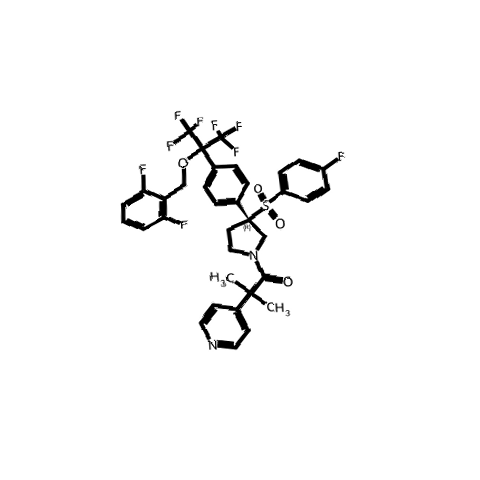 CC(C)(C(=O)N1CC[C@](c2ccc(C(OCc3c(F)cccc3F)(C(F)(F)F)C(F)(F)F)cc2)(S(=O)(=O)c2ccc(F)cc2)C1)c1ccncc1